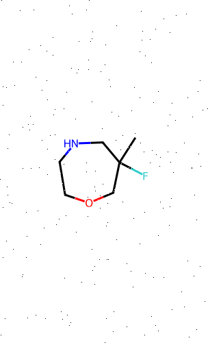 CC1(F)CNCCOC1